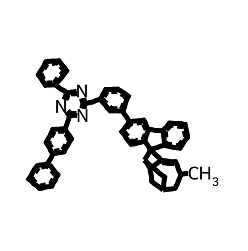 CC1C=C2C3CC(C1)CC3C21c2ccccc2-c2cc(-c3cccc(-c4nc(-c5ccccc5)nc(-c5ccc(-c6ccccc6)cc5)n4)c3)ccc21